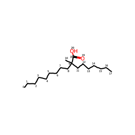 CCCCCCCCCC(C)(CCCCCCC)C(=O)O